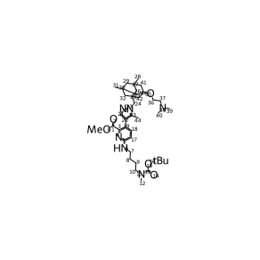 COC(=O)c1nc(NCCCCN(C)C(=O)OC(C)(C)C)ccc1-c1cnn(CC23CC4(C)CC(C)(C2)CC(OCCN(C)C)(C4)C3)c1C